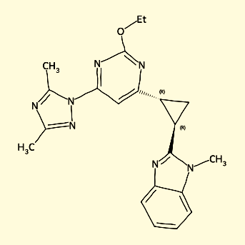 CCOc1nc([C@@H]2C[C@H]2c2nc3ccccc3n2C)cc(-n2nc(C)nc2C)n1